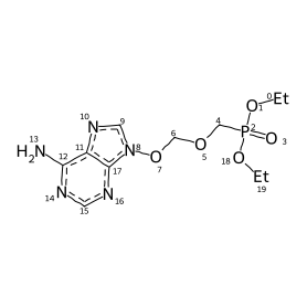 CCOP(=O)(COCOn1cnc2c(N)ncnc21)OCC